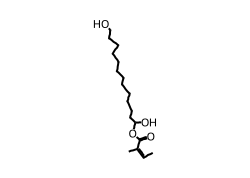 CC=C(C)C(=O)OC(O)CCCCCCCCCCCCO